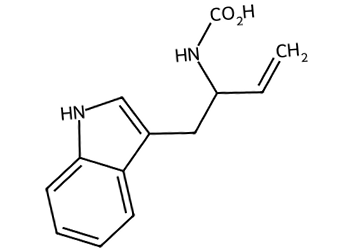 C=CC(Cc1c[nH]c2ccccc12)NC(=O)O